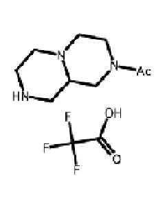 CC(=O)N1CCN2CCNCC2C1.O=C(O)C(F)(F)F